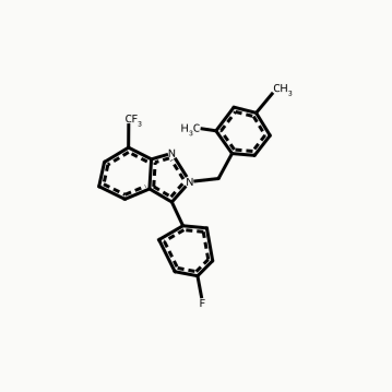 Cc1ccc(Cn2nc3c(C(F)(F)F)cccc3c2-c2ccc(F)cc2)c(C)c1